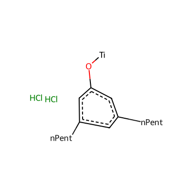 CCCCCc1cc(CCCCC)cc([O][Ti])c1.Cl.Cl